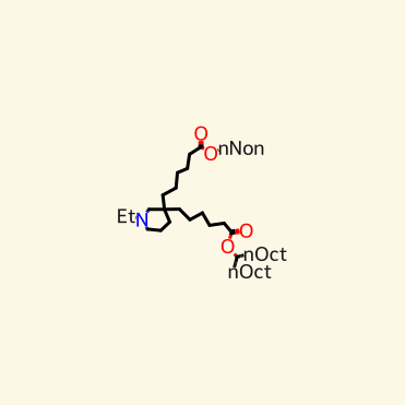 CCCCCCCCCOC(=O)CCCCCC1(CCCCCC(=O)OC(CCCCCCCC)CCCCCCCC)CCCN(CC)C1